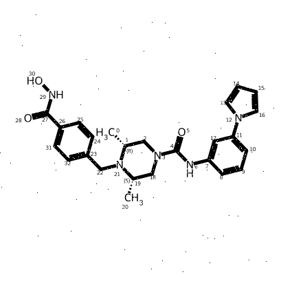 C[C@@H]1CN(C(=O)Nc2cccc(-n3cccc3)c2)C[C@H](C)N1Cc1ccc(C(=O)NO)cc1